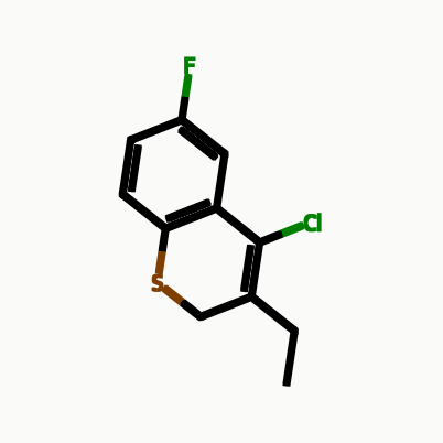 CCC1=C(Cl)c2cc(F)ccc2SC1